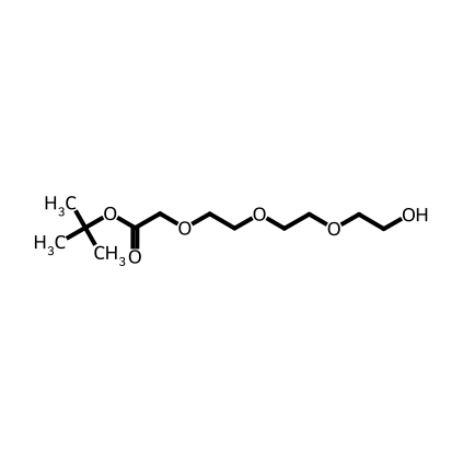 CC(C)(C)OC(=O)COCCOCCOCCO